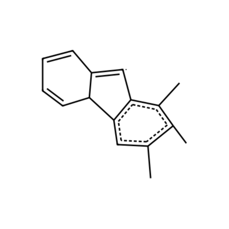 Cc1cc2c(c(C)c1C)[C]=C1C=CC=CC12